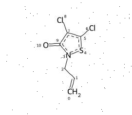 C=CCn1sc(Cl)c(Cl)c1=O